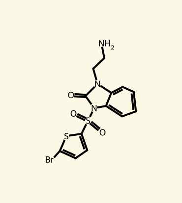 NCCn1c(=O)n(S(=O)(=O)c2ccc(Br)s2)c2ccccc21